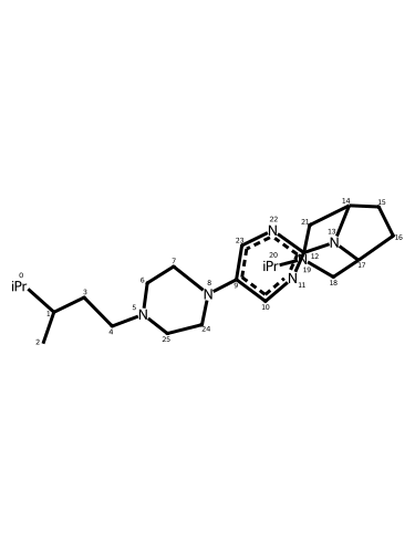 CC(C)C(C)CCN1CCN(c2cnc(N3C4CCC3CN(C(C)C)C4)nc2)CC1